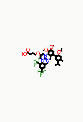 CCOc1cc(C)c(C(C)C)cc1-c1cc(OC)c(OC)cc1CN(Cc1cc(C(F)(F)F)cc(C(F)(F)F)c1)c1ncc(OCCCC(=O)O)cn1